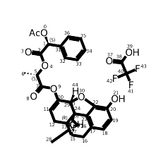 CC(=O)O[C@H](C(=O)O[C@@H](C)C(=O)OC1=CC[C@]2(O)C3Cc4ccc(O)c5c4[C@@]2(CCN3C)[C@H]1O5)c1ccccc1.O=C(O)C(F)(F)F